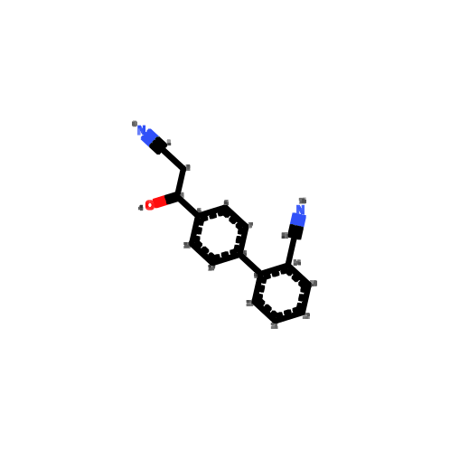 N#CCC(=O)c1ccc(-c2ccccc2C#N)cc1